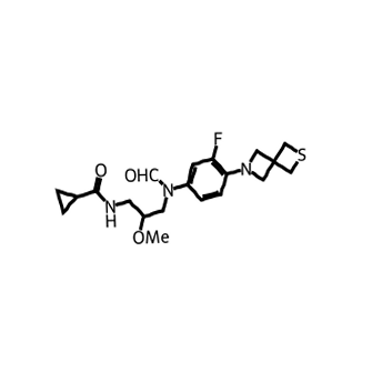 COC(CNC(=O)C1CC1)CN(C=O)c1ccc(N2CC3(CSC3)C2)c(F)c1